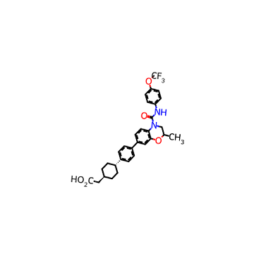 CC1CN(C(=O)Nc2ccc(OC(F)(F)F)cc2)c2ccc(-c3ccc([C@H]4CC[C@H](CC(=O)O)CC4)cc3)cc2O1